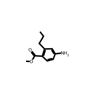 CCCc1cc(N)ccc1C(=O)OC